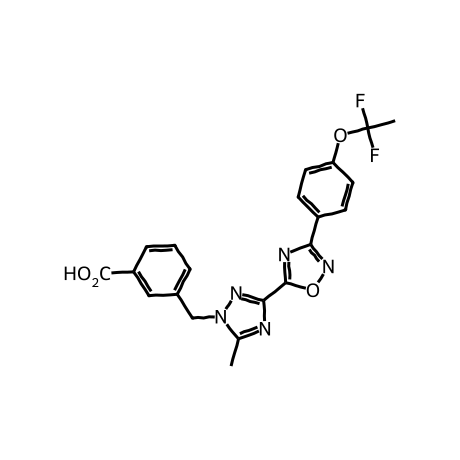 Cc1nc(-c2nc(-c3ccc(OC(C)(F)F)cc3)no2)nn1Cc1cccc(C(=O)O)c1